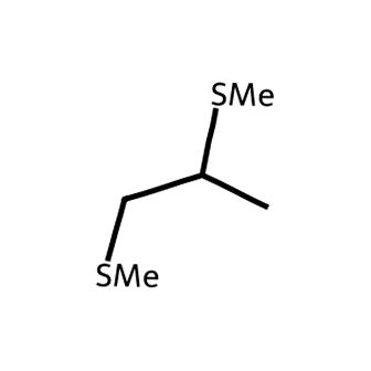 CSCC(C)SC